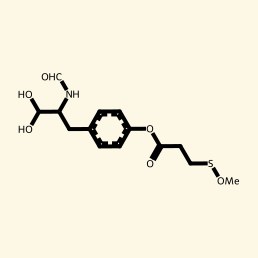 COSCCC(=O)Oc1ccc(CC(NC=O)C(O)O)cc1